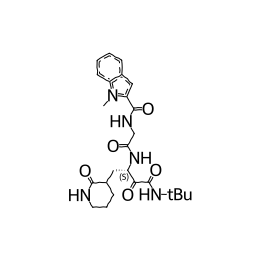 Cn1c(C(=O)NCC(=O)N[C@@H](CC2CCCNC2=O)C(=O)C(=O)NC(C)(C)C)cc2ccccc21